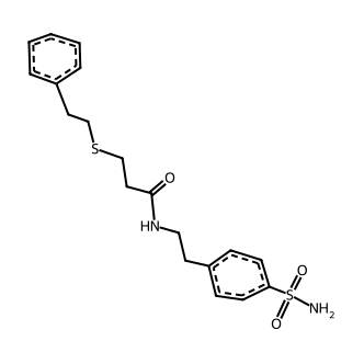 NS(=O)(=O)c1ccc(CCNC(=O)CCSCCc2ccccc2)cc1